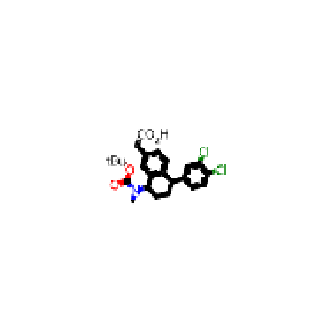 CN(C(=O)OC(C)(C)C)C1CCC(c2ccc(Cl)c(Cl)c2)c2ccc(CC(=O)O)cc21